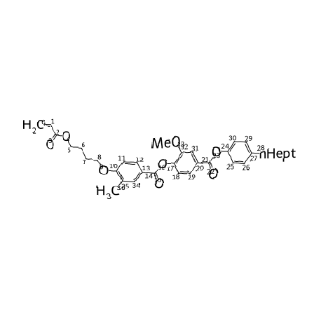 C=CC(=O)OCCCCOc1ccc(C(=O)Oc2ccc(C(=O)Oc3ccc(CCCCCCC)cc3)cc2OC)cc1C